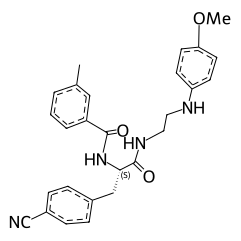 COc1ccc(NCCNC(=O)[C@H](Cc2ccc(C#N)cc2)NC(=O)c2cccc(C)c2)cc1